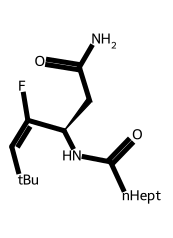 CCCCCCCC(=O)N[C@H](CC(N)=O)/C(F)=C\C(C)(C)C